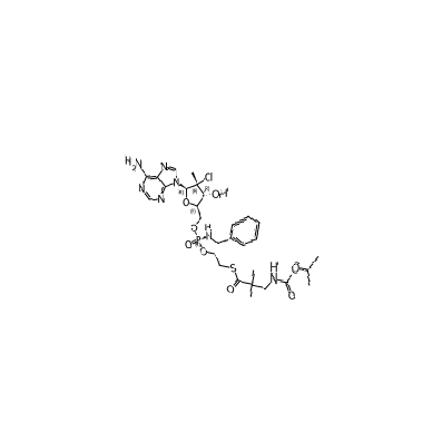 CC(C)OC(=O)NCC(C)(C)C(=O)SCCO[P@@](=O)(NCc1ccccc1)OC[C@H]1O[C@@H](n2cnc3c(N)ncnc32)[C@](C)(Cl)[C@@H]1O